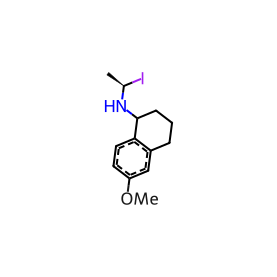 COc1ccc2c(c1)CCCC2N[C@@H](C)I